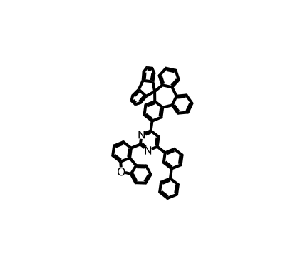 c1ccc(-c2cccc(-c3cc(-c4ccc5c(c4)-c4ccccc4-c4ccccc4C54c5ccccc5-c5ccccc54)nc(-c4cccc5oc6ccccc6c45)n3)c2)cc1